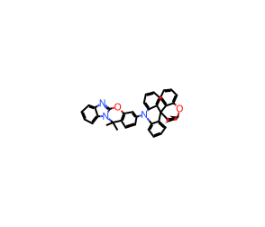 CC1(C)c2ccc(N3c4ccccc4C4(c5ccccc5Oc5ccccc54)c4ccccc43)cc2Oc2nc3ccccc3n21